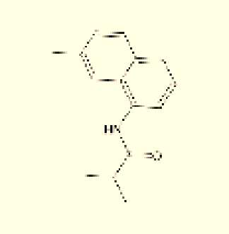 Cc1ccc2cccc(NC(=O)C(C)C)c2c1